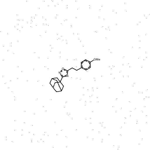 COc1ccc(CCc2nc(C34CC5CC(CC(C5)C3)C4)no2)cc1